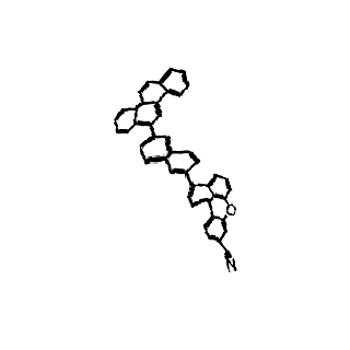 N#Cc1ccc2c(c1)Oc1cccc3c(-c4ccc5cc(-c6cc7c8ccccc8ccc7c7ccccc67)ccc5c4)ccc-2c13